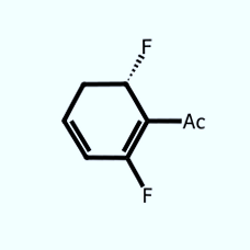 CC(=O)C1=C(F)C=CC[C@@H]1F